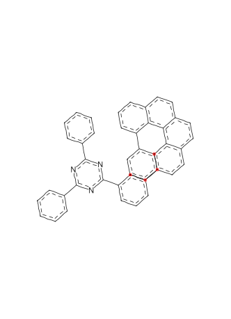 c1ccc(-c2nc(-c3ccccc3)nc(-c3cccc(-c4ccc5ccc6ccc7cccc(-c8ccccc8)c7c6c5c4)c3)n2)cc1